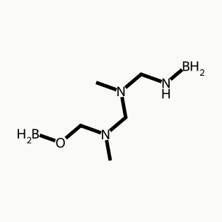 BNCN(C)CN(C)COB